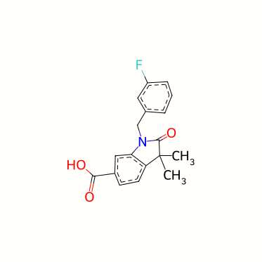 CC1(C)C(=O)N(Cc2cccc(F)c2)c2cc(C(=O)O)ccc21